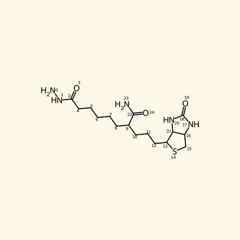 NNC(=O)CCCCCC(CCCC1SCC2NC(=O)NC21)C(N)=O